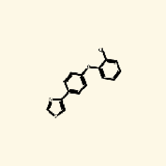 Clc1ccccc1Oc1ccc(-c2cs[c]n2)cc1